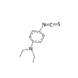 CCN(CC)c1ccc(N=C=S)cc1